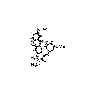 COc1cc(C=C(C(=O)N(C)C)c2ccc(Oc3ccc(NC(C)=O)cc3)cc2)cc(OC)c1